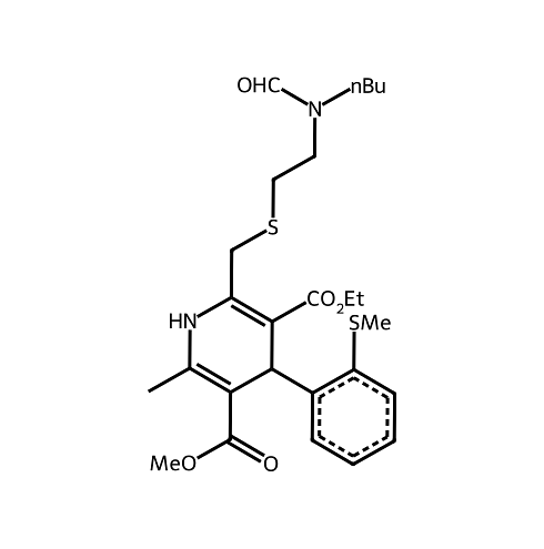 CCCCN(C=O)CCSCC1=C(C(=O)OCC)C(c2ccccc2SC)C(C(=O)OC)=C(C)N1